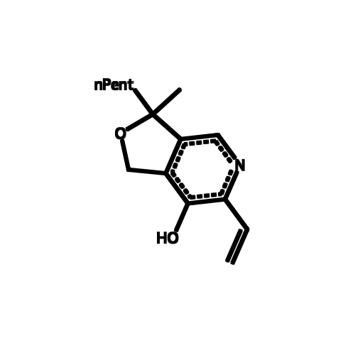 C=Cc1ncc2c(c1O)COC2(C)CCCCC